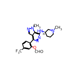 CN1CCC[C@@H](Nc2nnc(-c3ccc(C(F)(F)F)cc3OC=O)c3cnn(C)c23)C1